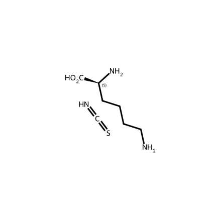 N=C=S.NCCCC[C@H](N)C(=O)O